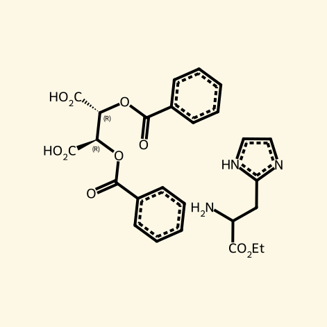 CCOC(=O)C(N)Cc1ncc[nH]1.O=C(O[C@@H](C(=O)O)[C@@H](OC(=O)c1ccccc1)C(=O)O)c1ccccc1